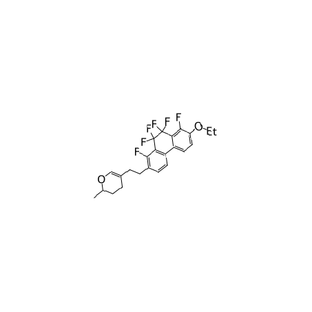 CCOc1ccc2c(c1F)C(F)(F)C(F)(F)c1c-2ccc(CCC2=COC(C)CC2)c1F